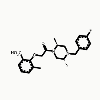 Cc1cccc(C(=O)O)c1OCC(=O)N1C[C@@H](C)N(Cc2ccc(F)cc2)C[C@@H]1C